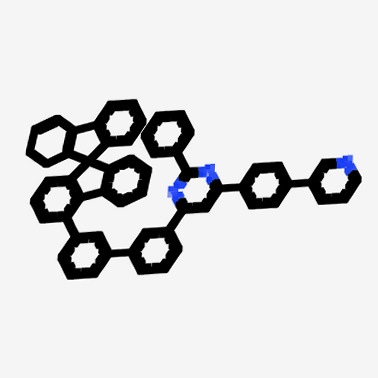 C1=CC2=C(CC1)C1(c3ccccc32)c2ccccc2-c2c(-c3cccc(-c4cccc(-c5cc(-c6ccc(-c7cccnc7)cc6)nc(-c6ccccc6)n5)c4)c3)cccc21